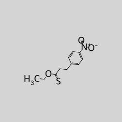 CCOC(=S)CCc1ccc([N+](=O)[O-])cc1